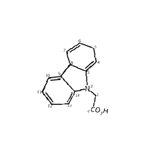 O=C(O)CN1C2=CCC=CC2c2ccccc21